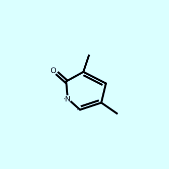 CC1=[C][N]C(=O)C(C)=C1